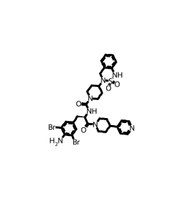 Nc1c(Br)cc(C[C@@H](NC(=O)N2CCC(N3Cc4ccccc4NS3(=O)=O)CC2)C(=O)N2CCC(c3ccncc3)CC2)cc1Br